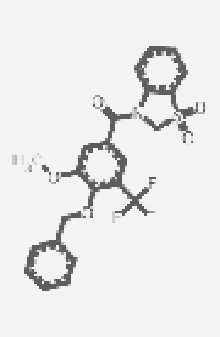 COc1cc(C(=O)N2CS(=O)(=O)c3ccccc32)cc(C(F)(F)F)c1OCc1ccccc1